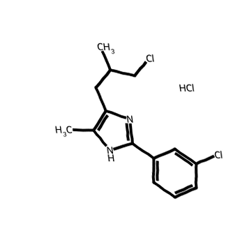 Cc1[nH]c(-c2cccc(Cl)c2)nc1CC(C)CCl.Cl